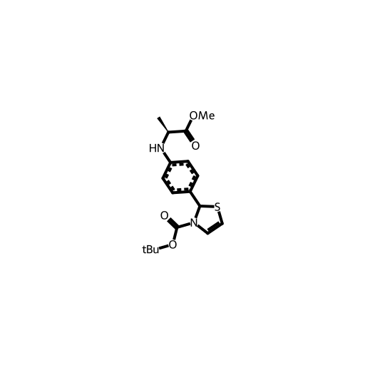 COC(=O)[C@H](C)Nc1ccc(C2SC=CN2C(=O)OC(C)(C)C)cc1